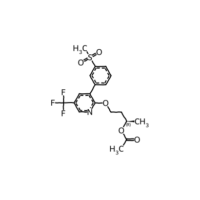 CC(=O)O[C@H](C)CCOc1ncc(C(F)(F)F)cc1-c1cccc(S(C)(=O)=O)c1